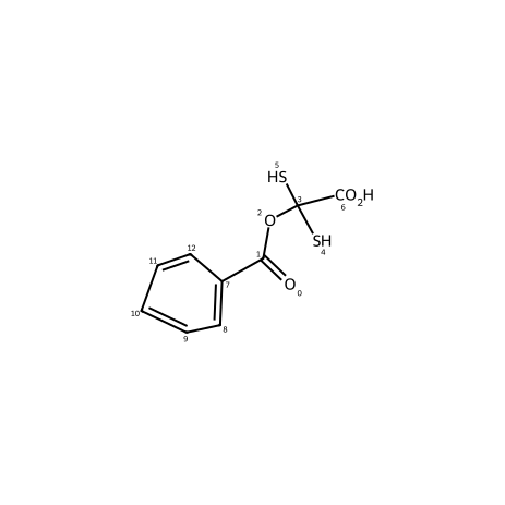 O=C(OC(S)(S)C(=O)O)c1ccccc1